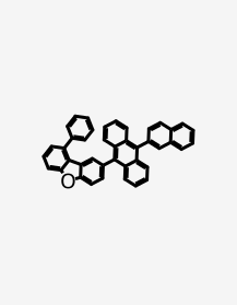 c1ccc(-c2cccc3oc4ccc(-c5c6ccccc6c(-c6ccc7ccccc7c6)c6ccccc56)cc4c23)cc1